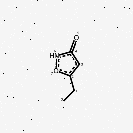 CCc1cc(=O)[nH]o1